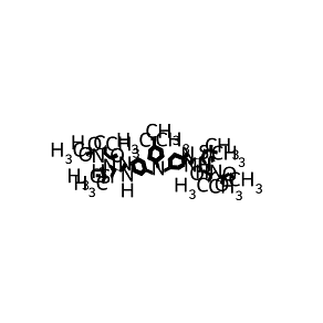 COC(=O)N[C@H](C(=O)N1C[Si](C)(C)C[C@H]1c1nc2ccc(CN(Cc3ccc4nc([C@@H]5C[Si](C)(C)CN5C(=O)[C@@H](NC(=O)OC)C(C)C)[nH]c4c3)c3ccc(C(C)(C)C)cc3)cc2[nH]1)C(C)C